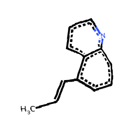 CC=Cc1cccc2ncccc12